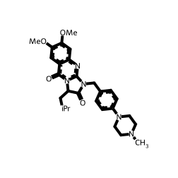 COc1cc2nc3n(c(=O)c2cc1OC)C(CC(C)C)C(=O)N3Cc1ccc(N2CCN(C)CC2)cc1